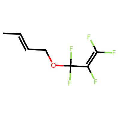 C/C=C/COC(F)(F)C(F)=C(F)F